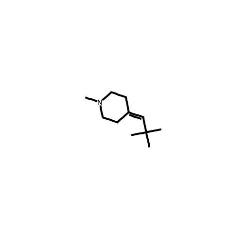 CN1CCC(=CC(C)(C)C)CC1